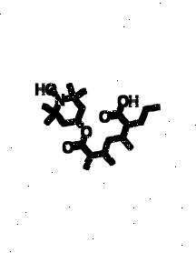 CCCC(C(=O)O)C(C)CC(C)C(C)C(=O)OC1CC(C)(C)N(O)C(C)(C)C1